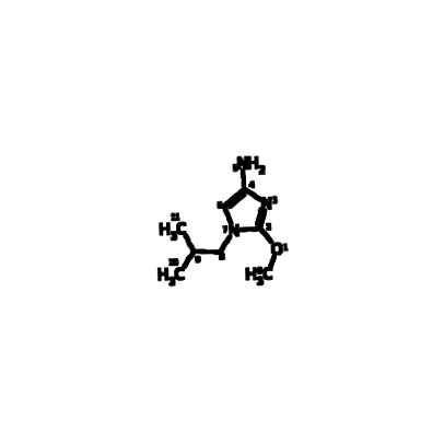 COc1nc(N)cn1CC(C)C